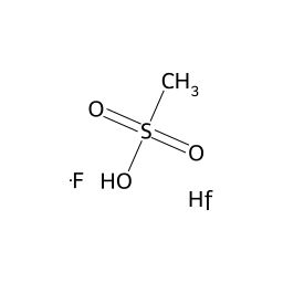 CS(=O)(=O)O.[F].[Hf]